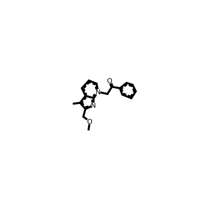 COCc1nc2n(CC(=O)c3ccccc3)cccc-2c1C